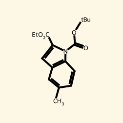 CCOC(=O)c1cc2cc(C)ccc2n1C(=O)OC(C)(C)C